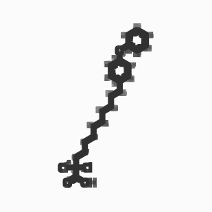 O=C(O)C(Cl)(Cl)CCCCCCCCCCc1ccc(Oc2ccccc2)cc1